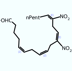 CCCCC/C=C(\C/C=C(\C/C=C\C/C=C\CCC[C]=O)[N+](=O)[O-])[N+](=O)[O-]